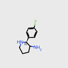 NC1CCCN[C@H]1c1ccc(F)cc1